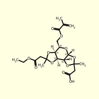 C=C(C)C(=O)OC[C@H]1O[C@@H]2OC(C)(CC(=O)O)O[C@@H]2[C@H]2OC(C)(CC(=O)OCC)O[C@H]21